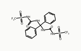 O=C(NC(NC(=O)NS(=O)(=O)C(F)(F)F)(c1ccccc1)c1ccccc1)NS(=O)(=O)C(F)(F)F